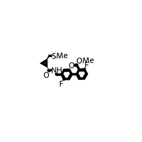 COC(=O)c1c(F)cccc1-c1ccc(CNC(=O)[C@@H]2C[C@H]2CSC)c(F)c1